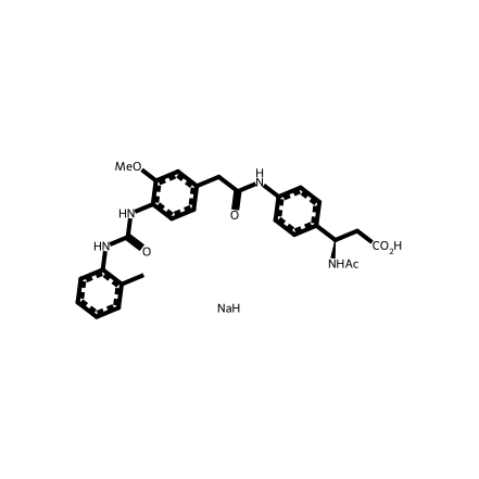 COc1cc(CC(=O)Nc2ccc([C@@H](CC(=O)O)NC(C)=O)cc2)ccc1NC(=O)Nc1ccccc1C.[NaH]